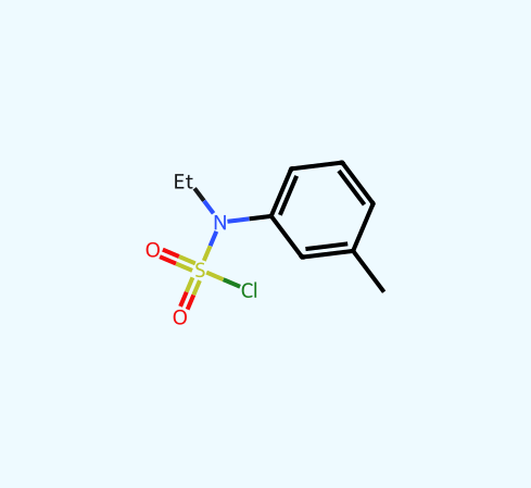 CCN(c1cccc(C)c1)S(=O)(=O)Cl